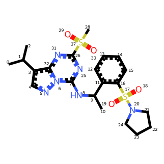 CC(C)c1cnn2c(NC(C)c3ccccc3S(=O)(=O)N3CCCC3)nc(S(C)(=O)=O)nc12